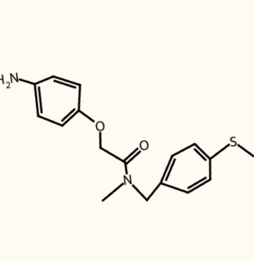 CSc1ccc(CN(C)C(=O)COc2ccc(N)cc2)cc1